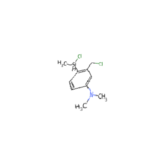 CN(C)c1ccc([SiH](C)Cl)c(CCl)c1